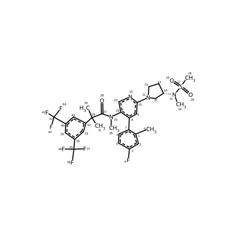 Cc1cc(F)ccc1-c1cc(N2CC[C@H](N(C)S(C)(=O)=O)C2)ncc1N(C)C(=O)C(C)(C)c1cc(C(F)(F)F)cc(C(F)(F)F)c1